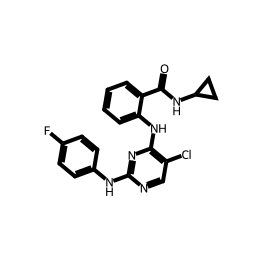 O=C(NC1CC1)c1ccccc1Nc1nc(Nc2ccc(F)cc2)ncc1Cl